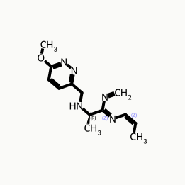 C=N/C(=N\C=C/C)[C@@H](C)NCc1ccc(OC)nn1